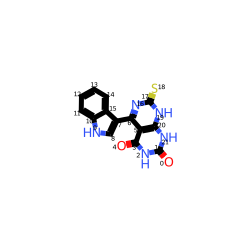 O=c1[nH]c(=O)c2c(-c3c[nH]c4ccccc34)nc(=S)[nH]c2[nH]1